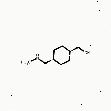 O=C(O)NC[C@H]1CC[C@@H](CO)CC1